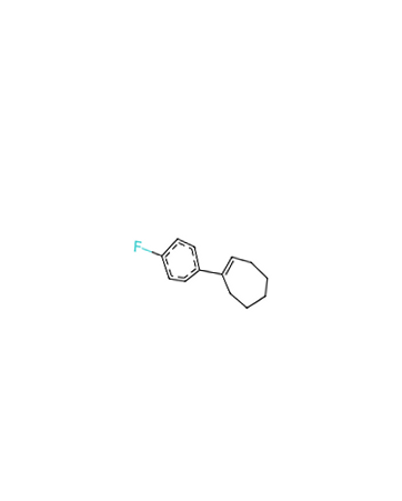 Fc1ccc(C2=CCCCCC2)cc1